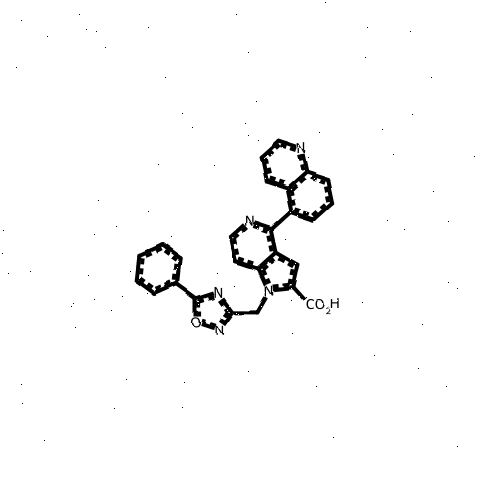 O=C(O)c1cc2c(-c3cccc4ncccc34)nccc2n1Cc1noc(-c2ccccc2)n1